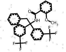 COc1ccccc1C(=O)NC(Cc1ccccc1)(c1cccc(C(F)(F)F)c1)c1cccc(C(F)(F)F)c1